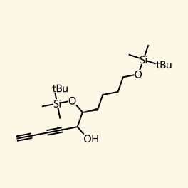 C#CC#CC(O)[C@H](CCCCO[Si](C)(C)C(C)(C)C)O[Si](C)(C)C(C)(C)C